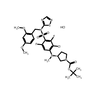 COc1ccc(CN(c2ncns2)S(=O)(=O)c2c(F)cc(N(C)[C@H]3CCN(C(=O)OC(C)(C)C)C3)c(Cl)c2F)c(OC)c1.Cl